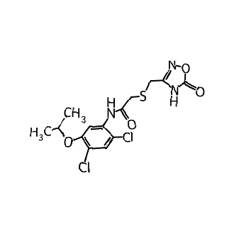 CC(C)Oc1cc(NC(=O)CSCc2noc(=O)[nH]2)c(Cl)cc1Cl